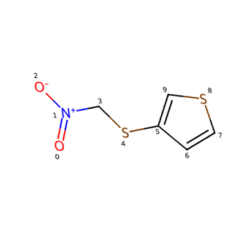 O=[N+]([O-])CSc1ccsc1